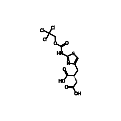 O=C(O)C[C@@H](Cc1csc(NC(=O)OCC(Cl)(Cl)Cl)n1)C(=O)O